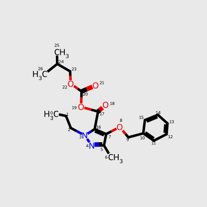 CCCn1nc(C)c(OCc2ccccc2)c1C(=O)OC(=O)OCC(C)C